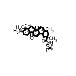 CC1(C)C2CC[C@]3(C)[C@H](C(=O)C=C4[C@@H]5C[C@@](C)(C(=O)NOC(F)(F)F)CC[C@]5(C)CC[C@]43C)[C@@]2(C)CC[C@@H]1N